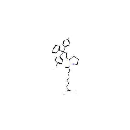 C=C(CC)CCCCCCC(=C)N1CCCC1CCC(c1ccccc1)(c1ccc(CC)cc1)c1ccc(CC)cc1